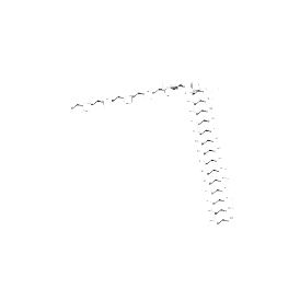 CCOC(C)=O.ClCCl.ClCCl.ClCCl.ClCCl.ClCCl.ClCCl.ClCCl.ClCCl.ClCCl.ClCCl.ClCCl.ClCCl.ClCCl.ClCCl.ClCCl.ClCCl.ClCCl.ClCCl.ClCCl.ClCCl